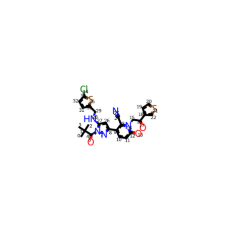 CC(C)(C)C(=O)n1nc(-c2ccc(=O)n(CC(=O)c3ccsc3)c2C#N)cc1NCc1ccc(Cl)s1